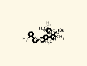 Cc1ccccc1-c1cccc(N2CCc3cc(-c4c(C)nc(C)c(C(OC(C)(C)C)C(=O)O)c4N4CCC(C)(C)CC4)ccc3C2)n1